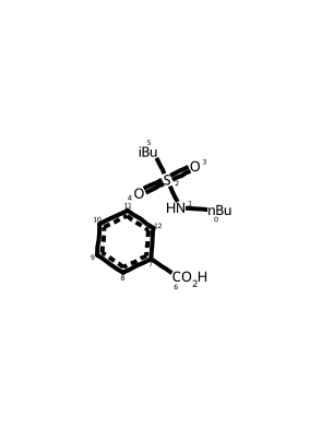 CCCCNS(=O)(=O)C(C)CC.O=C(O)c1ccccc1